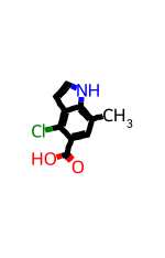 Cc1cc(C(=O)O)c(Cl)c2cc[nH]c12